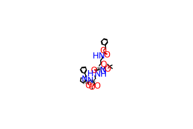 COC(=O)[C@H](CCNC(=O)[C@H](CCCCNC(=O)OCc1ccccc1)N(C)C(=O)OC(C)(C)C)NC(=O)[C@@H]1CCCN1Cc1ccccc1